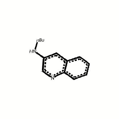 CCCCNc1[c]nc2ccccc2c1